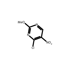 COc1ncc([N+](=O)[O-])c(Cl)n1